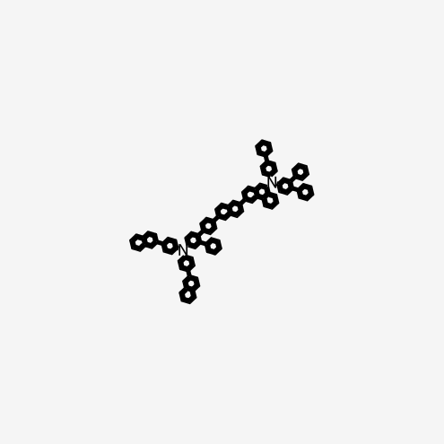 c1ccc(-c2ccc(N(c3ccc(-c4ccccc4)c(-c4ccccc4)c3)c3cc4ccc(-c5ccc6cc(-c7ccc(-c8ccc(N(c9ccc(-c%10ccc%11ccccc%11c%10)cc9)c9ccc(-c%10ccc%11ccccc%11c%10)cc9)cc8-c8ccccc8)cc7)ccc6c5)cc4c4ccccc34)cc2)cc1